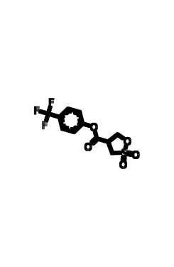 O=C(Oc1ccc(C(F)(F)F)cc1)C1COS(=O)(=O)C1